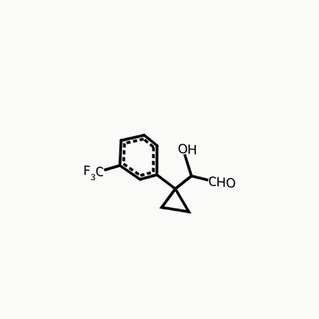 O=CC(O)C1(c2cccc(C(F)(F)F)c2)CC1